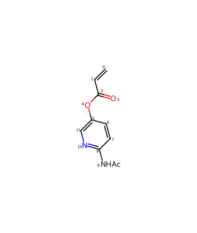 C=CC(=O)Oc1ccc(NC(C)=O)nc1